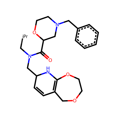 CC(C)CN(CC1C=CC2=C(N1)OCCOC2)C(=O)C1CN(Cc2ccccc2)CCO1